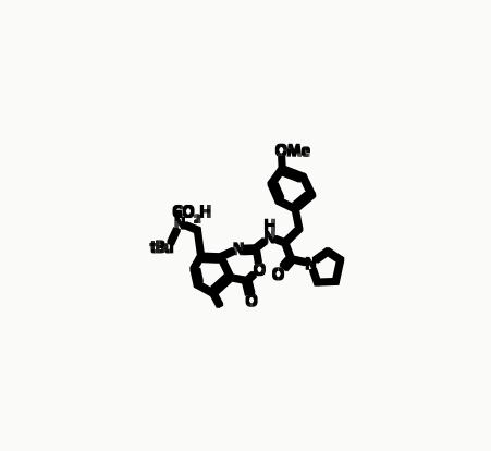 COc1ccc(CC(Nc2nc3c(CN(C(=O)O)C(C)(C)C)ccc(C)c3c(=O)o2)C(=O)N2CCCC2)cc1